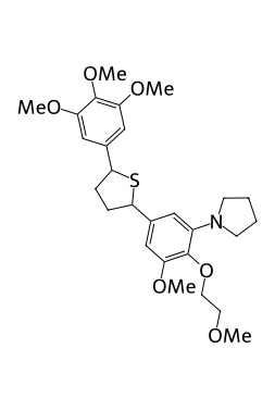 COCCOc1c(OC)cc(C2CCC(c3cc(OC)c(OC)c(OC)c3)S2)cc1N1CCCC1